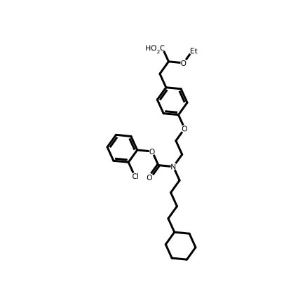 CCOC(Cc1ccc(OCCN(CCCCC2CCCCC2)C(=O)Oc2ccccc2Cl)cc1)C(=O)O